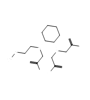 NNCCN(CC(=O)O)[C@@H]1CCCC[C@@H]1N(CC(=O)O)CC(=O)O